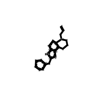 C=CCN1CCCc2c1ccc1[nH]c(Cc3ccccc3)nc21